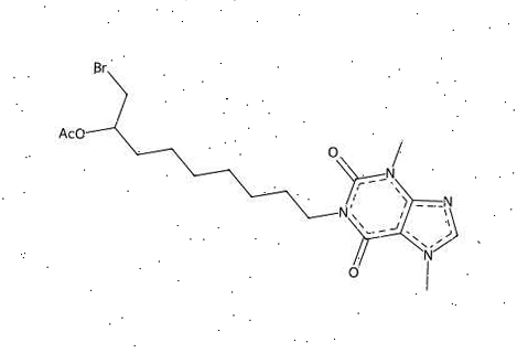 CC(=O)OC(CBr)CCCCCCCn1c(=O)c2c(ncn2C)n(C)c1=O